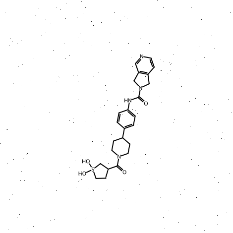 O=C(Nc1ccc(C2CCN(C(=O)C3CCS(O)(O)C3)CC2)cc1)N1Cc2ccncc2C1